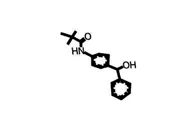 CC(C)(C)C(=O)Nc1ccc(C(O)c2ccccc2)cc1